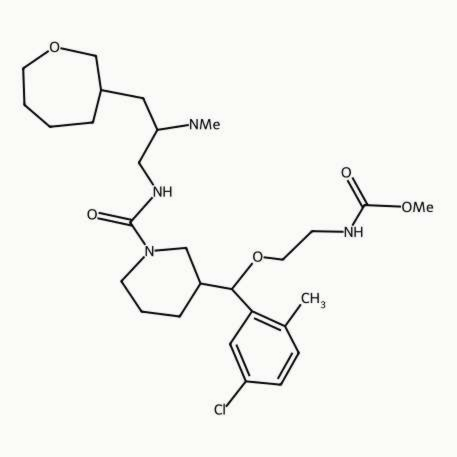 CNC(CNC(=O)N1CCCC(C(OCCNC(=O)OC)c2cc(Cl)ccc2C)C1)CC1CCCCOC1